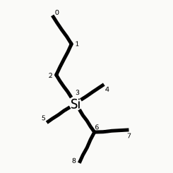 CCC[Si](C)(C)C(C)C